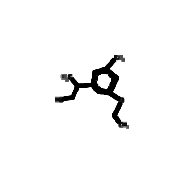 [CH2]C(CO)c1cc(C)cc(OCC)c1